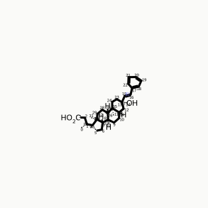 C[C@H](CC(=O)O)[C@H]1CC[C@H]2[C@@H]3CC[C@@H]4C[C@](O)(/C=C/c5ccccc5)CC[C@]4(C)[C@H]3CC[C@]12C